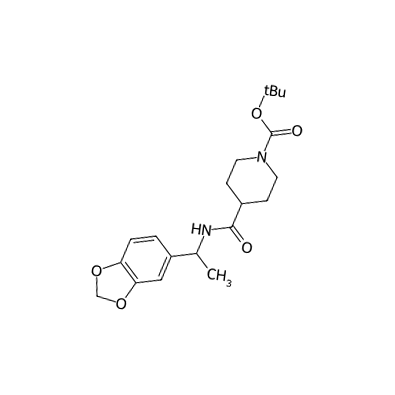 CC(NC(=O)C1CCN(C(=O)OC(C)(C)C)CC1)c1ccc2c(c1)OCO2